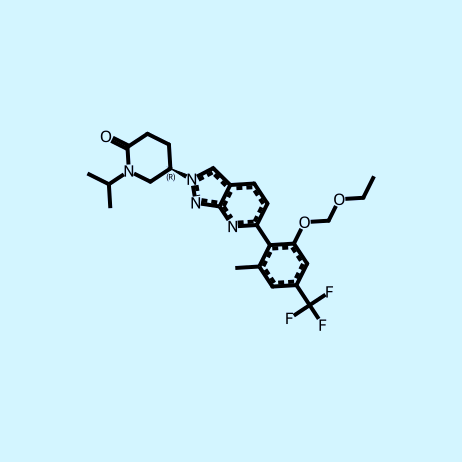 CCOCOc1cc(C(F)(F)F)cc(C)c1-c1ccc2cn([C@@H]3CCC(=O)N(C(C)C)C3)nc2n1